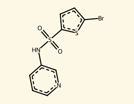 O=S(=O)(Nc1cccnc1)c1ccc(Br)s1